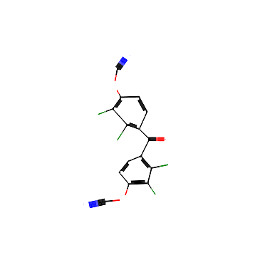 N#COc1ccc(C(=O)c2ccc(OC#N)c(Br)c2Br)c(Br)c1Br